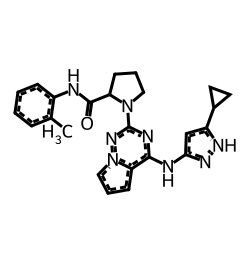 Cc1ccccc1NC(=O)C1CCCN1c1nc(Nc2cc(C3CC3)[nH]n2)c2cccn2n1